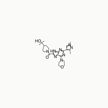 Cc1nn(C)cc1-c1nc(N2CCOCC2)c2nc(C(=O)N3CCC(C(C)(C)O)CC3)[nH]c2n1